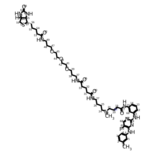 Cc1cccc(Nc2nc(Nc3cccc(NC(=O)/C=C/CN(C)CCCCNC(=O)CCCC(=O)NCCCOCCOCCOCCCNC(=O)CCCC[C@@H]4SC[C@@H]5NC(=O)NC54)c3)ncc2F)c1